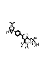 C=N/C(N)=C(\C=C(/C)c1ccc([C@@]23C[C@@H]2CN(C(C)C)C3)cc1)C(=O)NCC(CC)(CC)CO